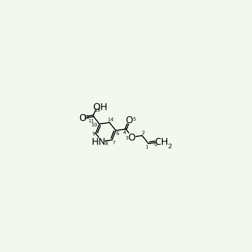 C=CCOC(=O)C1=CNC=C(C(=O)O)C1